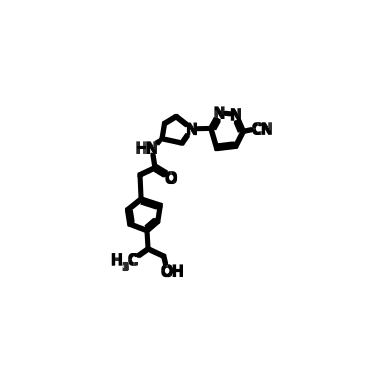 CC(CO)c1ccc(CC(=O)N[C@H]2CCN(c3ccc(C#N)nn3)C2)cc1